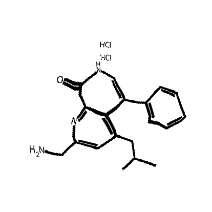 CC(C)Cc1cc(CN)nc2c(=O)[nH]cc(-c3ccccc3)c12.Cl.Cl